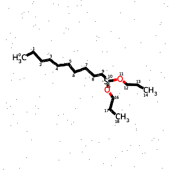 CCCCCCCCCC[Si](OCCC)OCCC